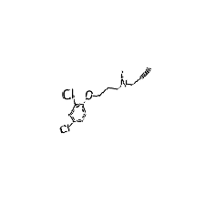 C#CCN(I)CCCOc1ccc(Cl)cc1Cl